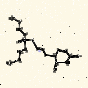 COPOP(=O)(C/C=C/Cn1ccc(=O)[nH]c1=O)OPOC